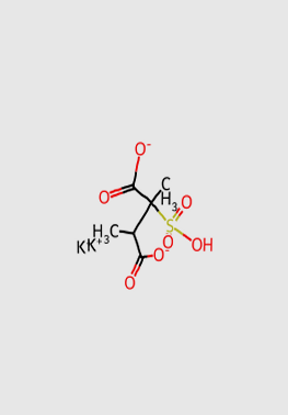 CC(C(=O)[O-])C(C)(C(=O)[O-])S(=O)(=O)O.[K+].[K+]